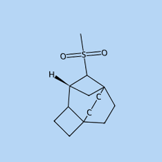 CS(=O)(=O)C1[C@@H]2CC13CCC1(CCC21)CC3